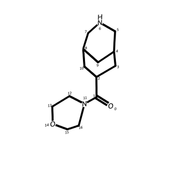 O=C(C1CC2CNCC(C2)C1)N1CCOCC1